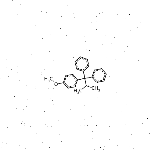 COc1ccc(C(c2ccccc2)(c2ccccc2)C(C)C)cc1